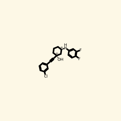 O[C@]1(C#Cc2cccc(Cl)c2)CCC[C@@H](Nc2ccc(F)c(F)c2)C1